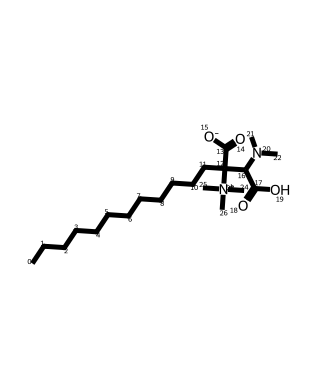 CCCCCCCCCCCCC(C(=O)[O-])(C(C(=O)O)N(C)C)[N+](C)(C)C